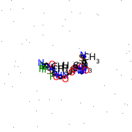 Cc1ncsc1-c1ccc(CNC(=O)[C@@H]2CCCN2C(=O)[C@@H](NC(=O)COCCCNC(=O)c2ccc(Oc3ncc(N4C(=S)N(c5ccc(C#N)c(C(F)(F)F)c5F)C(=O)C4(C)C)cc3F)cc2)C(C)(C)C)cc1